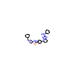 O=C(N[C@@H]1CCN(Cc2ccccc2)C1)c1ccc(-c2cccc3nc(Nc4ccccc4)nn23)cc1